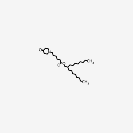 CCCCCCCCC(CCCCCCCC)COC(=O)CCCCCN1CCC(=O)CC1